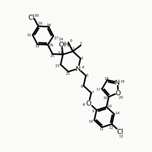 CC1(C)CN(CCCOc2ccc(Cl)cc2-c2ccno2)CCC1(O)Cc1ccc(Cl)cc1